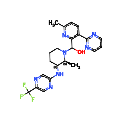 Cc1ccc(-c2ncccn2)c(C(O)N2CCC[C@@H](Nc3cnc(C(F)(F)F)cn3)[C@@H]2C)n1